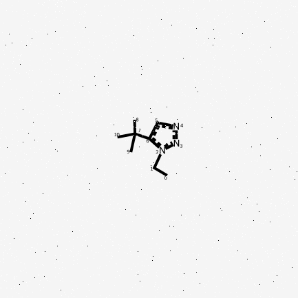 CCn1nncc1C(C)(C)C